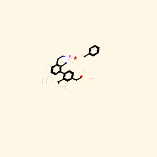 CC(C)c1cc(CC(=O)O)ccc1-c1ccc(F)c2c1CN(OC(=O)OCc1ccccc1)CC2